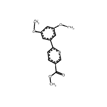 COC(=O)c1ccc(-c2cc(OC)cc(OC)c2)nc1